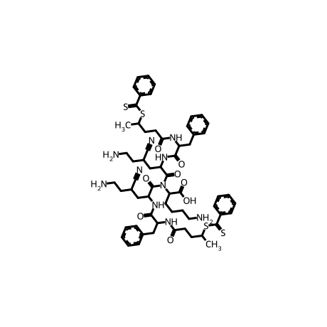 CC(CCC(=O)NC(Cc1ccccc1)C(=O)NC(CC(C#N)CCN)C(=O)N(C(=O)C(CC(C#N)CCN)NC(=O)C(Cc1ccccc1)NC(=O)CCC(C)SC(=S)c1ccccc1)C(CCCCN)C(=O)O)SC(=S)c1ccccc1